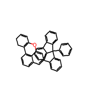 C1=CC2=C(CC1)c1cccc3cc(-c4ccccc4C4(c5ccccc5)c5ccccc5-c5ccccc54)cc(c13)O2